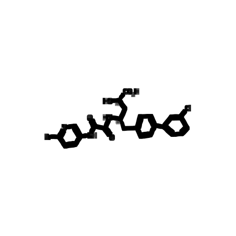 O=C(Nc1ccc(Br)nc1)C(=O)N[C@H](Cc1ccc(-c2cccc(Cl)c2)cc1)C[C@@H](O)C(=O)O